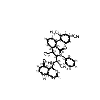 Cc1cc(C#N)ccc1-c1cccc2c(Cl)c(C(C)Nc3ncnc4[nH]ccc(=O)c34)n(-c3ccccc3)c(=O)c12